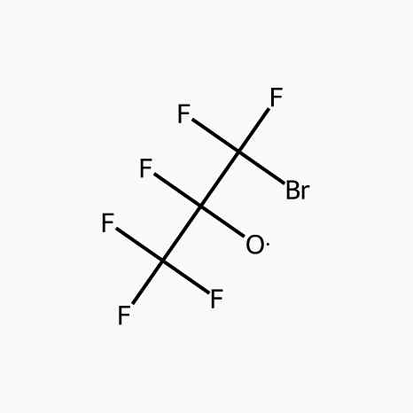 [O]C(F)(C(F)(F)F)C(F)(F)Br